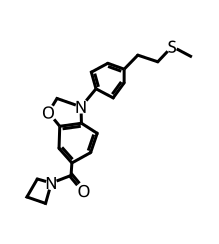 CSCCc1ccc(N2COc3cc(C(=O)N4CCC4)ccc32)cc1